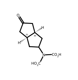 O=C1C[C@@H]2CC(N(C(=O)O)C(=O)O)C[C@@H]2C1